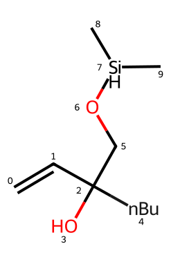 C=CC(O)(CCCC)CO[SiH](C)C